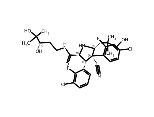 CC(C)(CO)C[C@H]1N[C@H](C(=O)NCC[C@H](O)C(C)(C)O)[C@@H](c2cccc(Cl)c2F)[C@]1(C#N)c1ccc(Cl)cc1F